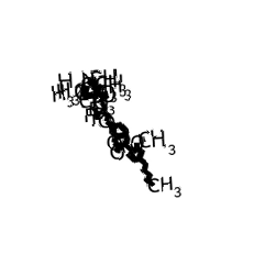 CCCCCc1ccc(-c2cc3ccc(OCC(COC(=O)C(C)(CC(C)(C)C)C(C)(C)N)C(F)(F)F)cc3oc2=O)c(OC)c1